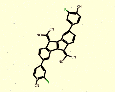 N#CC(C#N)=C1C2=C(C(=C(C#N)C#N)c3ccc(-c4ccc(C#N)c(F)c4)cc32)c2cc(-c3ccc(C#N)c(F)c3)ccc21